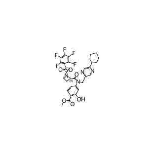 COC(=O)c1ccc(N(Cc2cnc(C3CCCCC3)cn2)C(=O)[C@H]2CCN2S(=O)(=O)c2c(F)c(F)c(F)c(F)c2F)cc1O